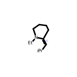 CCN1CCCC/C1=C/C(C)C